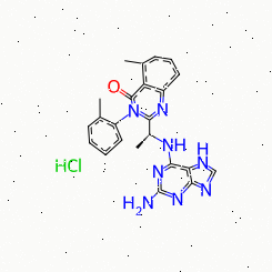 Cc1ccccc1-n1c([C@H](C)Nc2nc(N)nc3nc[nH]c23)nc2cccc(C)c2c1=O.Cl